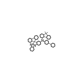 CC1(C)c2ccccc2-c2c(N(c3ccc(-c4ccccc4)cc3)c3ccc4c(c3)C3(c5ccccc5-c5ccccc53)c3nc5ccccc5n3-4)cccc21